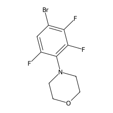 Fc1cc(Br)c(F)c(F)c1N1CCOCC1